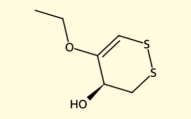 CCOC1=CSSC[C@H]1O